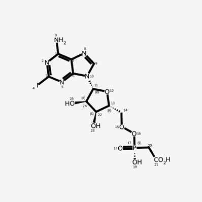 Nc1nc(I)nc2c1ncn2[C@@H]1O[C@H](COO[P@@](=O)(O)CC(=O)O)[C@@H](O)[C@H]1O